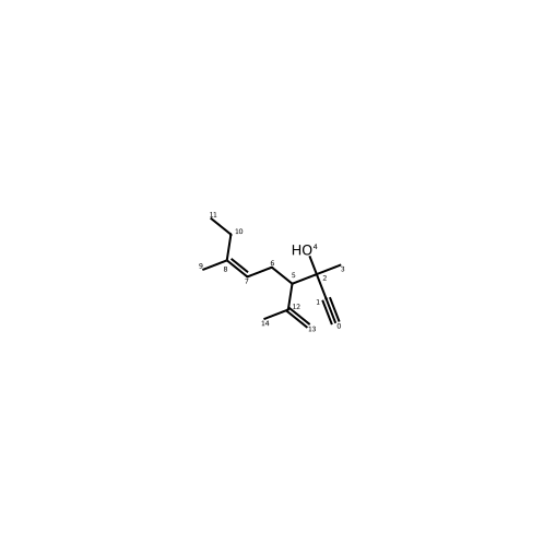 C#CC(C)(O)C(CC=C(C)CC)C(=C)C